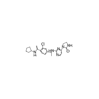 C=C(NC1CCCC1)c1ccc(C(C)Nc2nccc(N3CCNC3=O)n2)cc1Cl